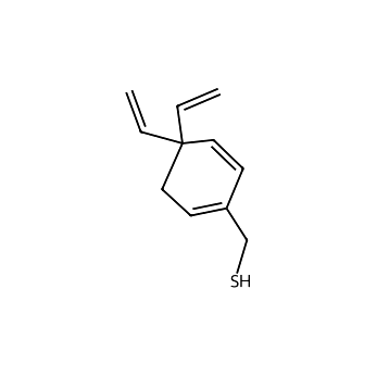 C=CC1(C=C)C=CC(CS)=CC1